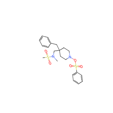 CN(CC1(Cc2ccccc2)CCN(OS(=O)(=O)c2ccccc2)CC1)S(C)(=O)=O